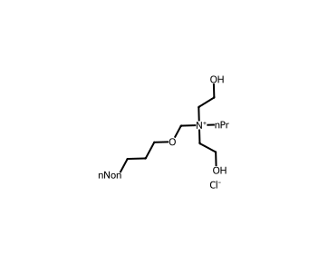 CCCCCCCCCCCCOC[N+](CCC)(CCO)CCO.[Cl-]